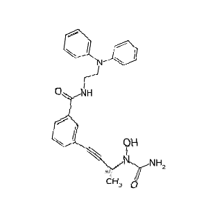 C[C@H](C#Cc1cccc(C(=O)NCCN(c2ccccc2)c2ccccc2)c1)N(O)C(N)=O